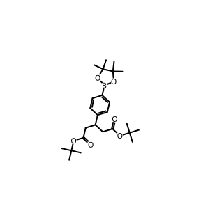 CC(C)(C)OC(=O)CC(CC(=O)OC(C)(C)C)c1ccc(B2OC(C)(C)C(C)(C)O2)cc1